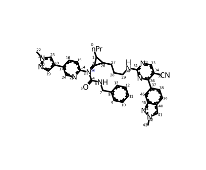 CCCC1/C(=[N+](/C(=O)NCc2ccccc2)c2ccc(-c3cnn(C)c3)cn2)C1CCCNc1ncc(C#N)c(-c2ccc3cn(C)nc3c2)n1